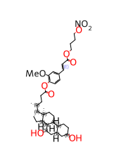 COc1cc(/C=C/C(=O)OCCCCO[N+](=O)[O-])ccc1OC(=O)CC[C@@H](C)[C@H]1CC[C@H]2[C@@H]3[C@@H](O)C[C@@H]4C[C@H](O)CC[C@]4(C)[C@H]3CC[C@]12C